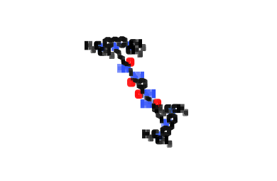 CN(C)c1ccc2cc3ccc(N(C)C)cc3[n+](CCCCCC(=O)NCCNC(=O)c3cccc(C(=O)NCCNC(=O)CCCCC[n+]4c5cc(N(C)C)ccc5cc5ccc(N(C)C)cc54)c3)c2c1